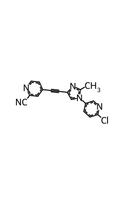 Cc1nc(C#Cc2ccnc(C#N)c2)cn1-c1ccc(Cl)nc1